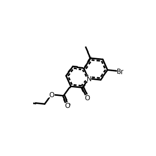 CCOC(=O)c1ccc2c(C)cc(Br)cn2c1=O